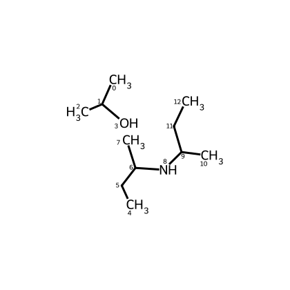 CC(C)O.CCC(C)NC(C)CC